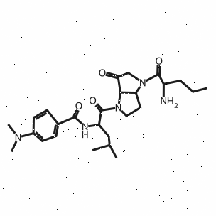 CCCC(N)C(=O)N1CC(=O)C2C1CCN2C(=O)C(CC(C)C)NC(=O)c1ccc(N(C)C)cc1